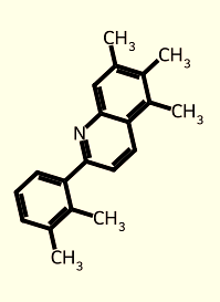 Cc1cccc(-c2ccc3c(C)c(C)c(C)cc3n2)c1C